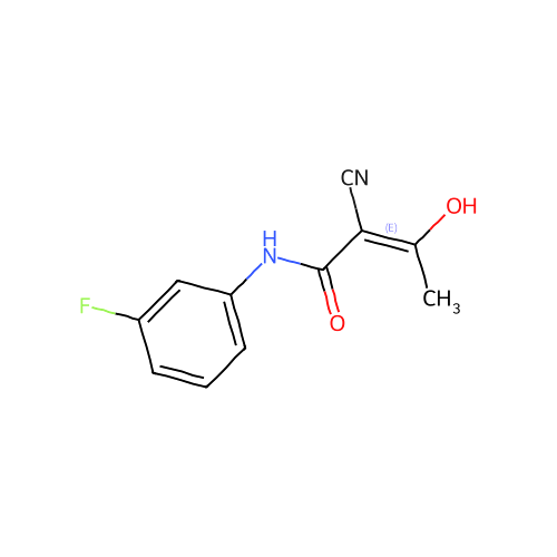 C/C(O)=C(/C#N)C(=O)Nc1cccc(F)c1